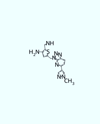 Cn1cc(-c2ccc3nnn(Cc4cc(N)c(C=N)s4)c3n2)cn1